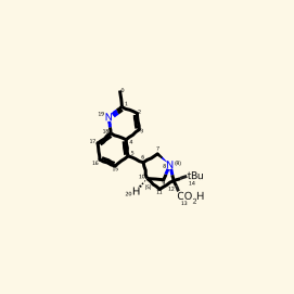 Cc1ccc2c(C3C[N@]4C[C@H]3CC4(C(=O)O)C(C)(C)C)cccc2n1